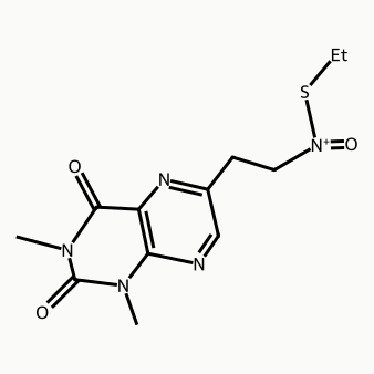 CCS[N+](=O)CCc1cnc2c(n1)c(=O)n(C)c(=O)n2C